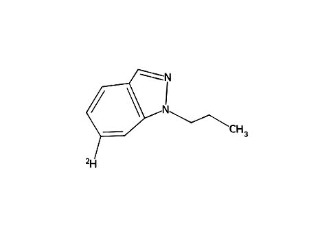 [2H]c1ccc2cnn(CCC)c2c1